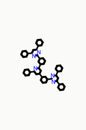 c1ccc(-c2cc(-c3cccc(-c4nc(-c5ccccc5)cc(-c5ccccc5)n4)c3)cc(-c3cccc(-c4nc(-c5ccccc5)cc(-c5ccccc5)n4)c3)n2)cc1